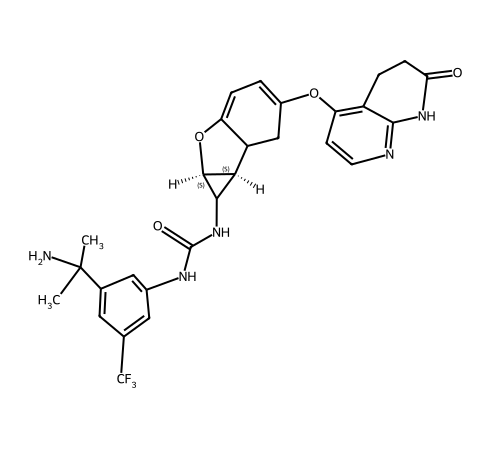 CC(C)(N)c1cc(NC(=O)NC2[C@@H]3C4CC(Oc5ccnc6c5CCC(=O)N6)=CC=C4O[C@H]23)cc(C(F)(F)F)c1